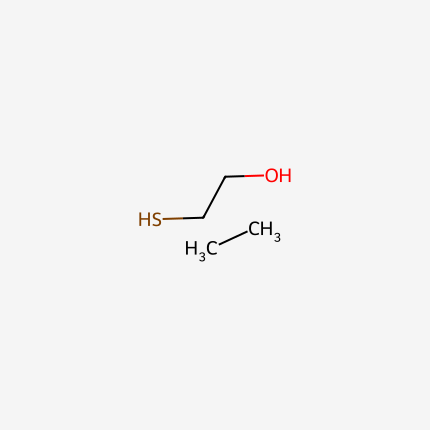 CC.OCCS